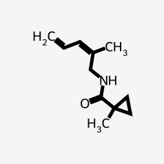 C=C/C=C(/C)CNC(=O)C1(C)CC1